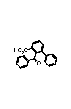 O=C(O)c1cccc(-c2ccccc2)c1C(=O)c1ccccc1